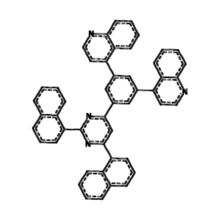 c1ccc2c(-c3cc(-c4cc(-c5ccnc6ccccc56)cc(-c5ccnc6ccccc56)c4)nc(-c4cccc5ccccc45)n3)cccc2c1